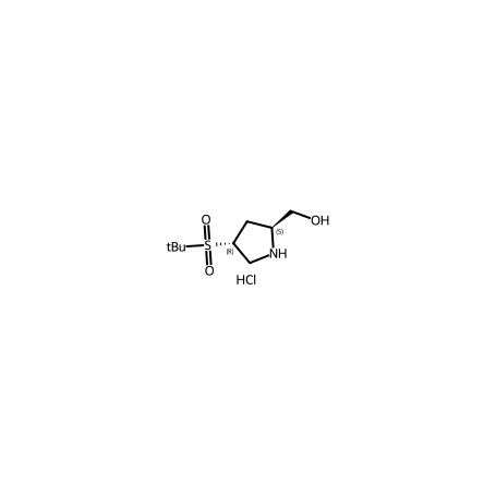 CC(C)(C)S(=O)(=O)[C@H]1CN[C@H](CO)C1.Cl